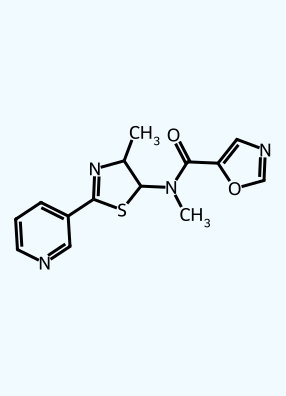 CC1N=C(c2cccnc2)SC1N(C)C(=O)c1cnco1